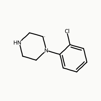 Clc1ccccc1N1[CH]CNCC1